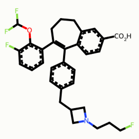 O=C(O)c1ccc2c(c1)CCCC(c1cccc(F)c1OC(F)F)=C2c1ccc(CC2CN(CCCF)C2)cc1